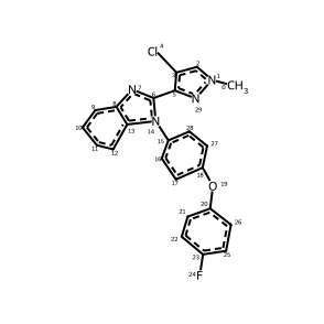 Cn1cc(Cl)c(-c2nc3ccccc3n2-c2ccc(Oc3ccc(F)cc3)cc2)n1